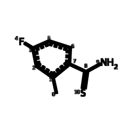 Cc1cc(F)ccc1C(N)=S